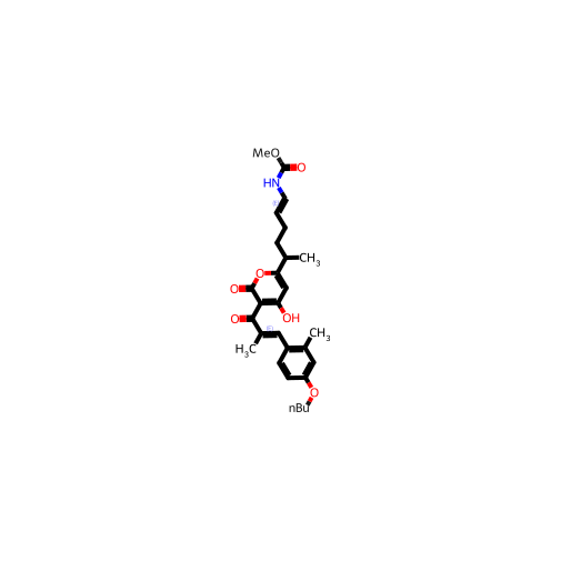 CCCCOc1ccc(/C=C(\C)C(=O)c2c(O)cc(C(C)CC/C=C/NC(=O)OC)oc2=O)c(C)c1